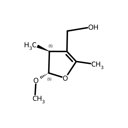 CO[C@H]1OC(C)=C(CO)[C@@H]1C